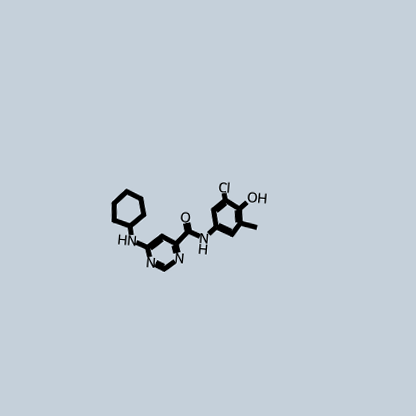 Cc1cc(NC(=O)c2cc(NC3CCCCC3)ncn2)cc(Cl)c1O